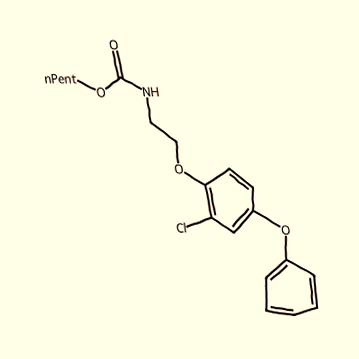 CCCCCOC(=O)NCCOc1ccc(Oc2ccccc2)cc1Cl